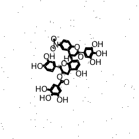 O=C(O[C@@H]1Cc2c(O)cc3c(c2O[C@@H]1c1ccc(O)c(O)c1)[C@H]1C[C@](c2cc(O)c(O)c(O)c2)(Oc2ccc([N+](=O)[O-])cc21)O3)c1cc(O)c(O)c(O)c1